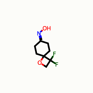 ON=C1CCC2(CC1)OCC2(F)F